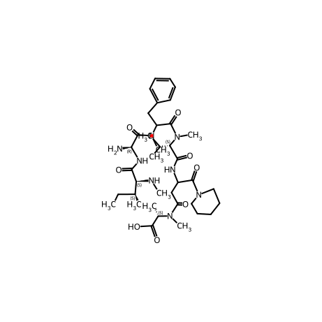 CC[C@H](C)[C@H](NC)C(=O)N[C@@H](N)C(=O)N(C)C(Cc1ccccc1)C(=O)N(C)[C@H](C(=O)NC(CC(=O)N(C)[C@@H](C)C(=O)O)C(=O)N1CCCCC1)C(C)C